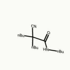 CCCCNC(=O)C(C#N)(CCCC)CCCC